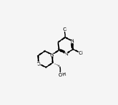 OC[C@@H]1COCCN1C1=NC(Cl)=NC(Cl)C1